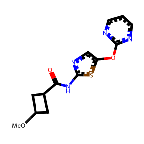 COC1CC(C(=O)Nc2ncc(Oc3ncccn3)s2)C1